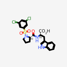 O=C(O)[C@H](Cc1c[nH]c2ccccc12)NC(=O)[C@@H]1CCCN1S(=O)(=O)c1cc(Cl)cc(Cl)c1